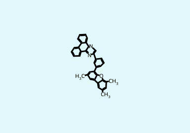 Cc1cc(C)c2oc3c(-c4cccc(-c5cnc6c7ccccc7c7ccccc7c6n5)c4)cc(C)cc3c2c1